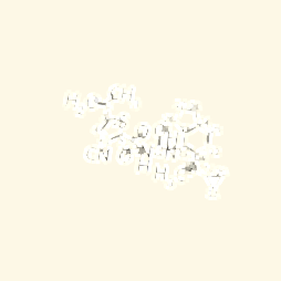 C=C(C)c1cc(C#N)c(S(=O)(=O)NC(=O)Nc2c([C@H](C)C3CC3)ccc3c2CCC3)s1